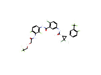 O=C(COCC(F)(F)F)Nc1c(F)ccc(NC(=O)c2cc(NC(=O)[C@H]3[C@H](c4ccc(F)c(C(F)(F)F)c4)C3(Cl)Cl)ccc2Cl)c1F